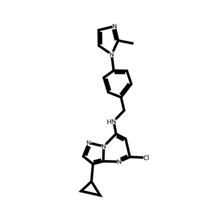 Cc1nccn1-c1ccc(CNc2cc(Cl)nc3c(C4CC4)cnn23)cc1